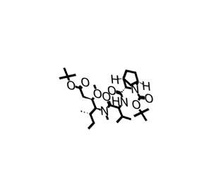 CC[C@H](C)[C@@H]([C@@H](CC(=O)OC(C)(C)C)OC)N(C)C(=O)C(NC(=O)[C@@H]1[C@H]2CC[C@H](C2)N1C(=O)OC(C)(C)C)C(C)C